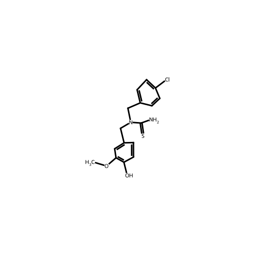 COc1cc(CN(Cc2ccc(Cl)cc2)C(N)=S)ccc1O